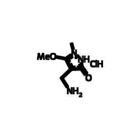 COc1c(CN)c(=O)[nH]n1C.Cl